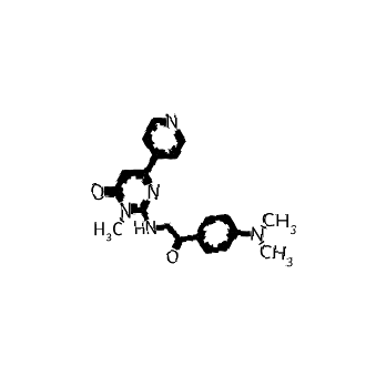 CN(C)c1ccc(C(=O)CNc2nc(-c3ccncc3)cc(=O)n2C)cc1